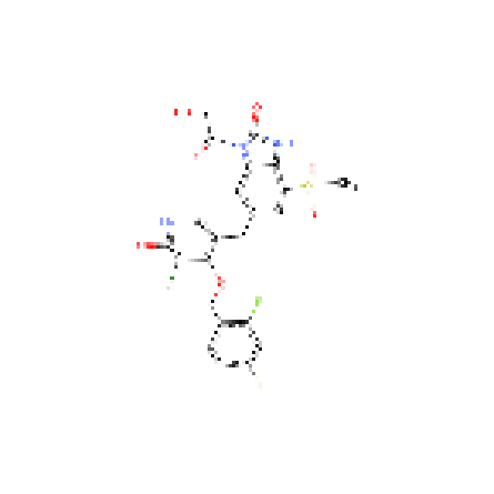 CS(=O)(=O)c1cc(Cc2c[nH]c(=O)c(Cl)c2OCc2ccc(F)cc2F)cc2c1[nH]c(=O)n2C(=O)CO